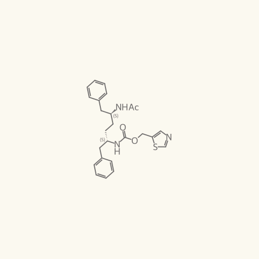 CC(=O)N[C@@H](CC[C@@H](Cc1ccccc1)NC(=O)OCc1cncs1)Cc1ccccc1